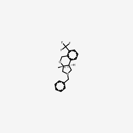 C[C@]12CN(Cc3ccccc3)C[C@@H]1c1cccc(C(F)(F)F)c1CO2